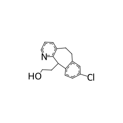 OCCC1c2ccc(Cl)cc2CCc2cccnc21